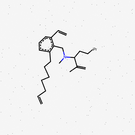 C=CCCCCCc1cccc(C=C)c1CN(C)C(CCC(C)C)C(=C)C